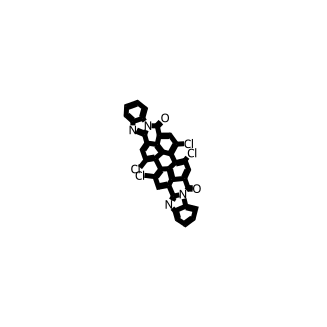 O=c1c2cc(Cl)c3c4c(Cl)cc5c(=O)n6c7ccccc7nc6c6cc(Cl)c(c7c(Cl)cc(c2c37)c2nc3ccccc3n12)c4c56